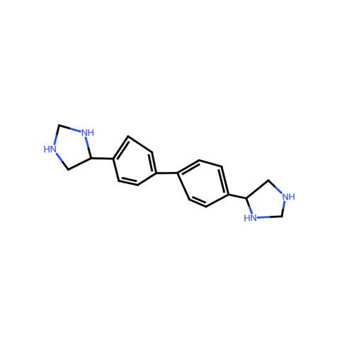 c1cc(C2CNCN2)ccc1-c1ccc(C2CNCN2)cc1